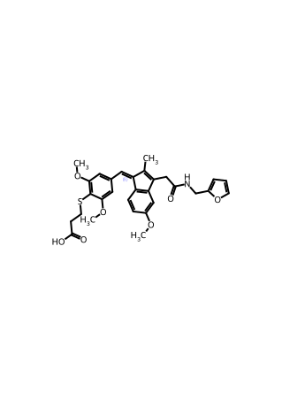 COc1ccc2c(c1)C(CC(=O)NCc1ccco1)=C(C)/C2=C/c1cc(OC)c(SCCC(=O)O)c(OC)c1